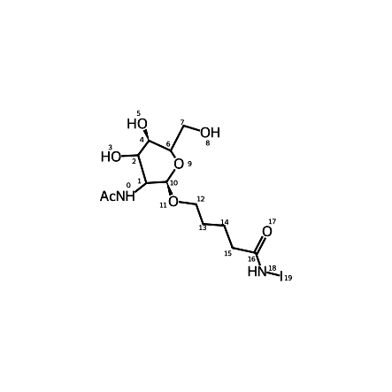 CC(=O)NC1C(O)[C@@H](O)C(CO)O[C@H]1OCCCCC(=O)NI